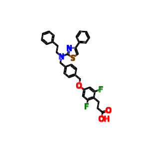 O=C(O)CCc1c(F)cc(OCc2ccc(CN(CCc3ccccc3)c3nc(-c4ccccc4)cs3)cc2)cc1F